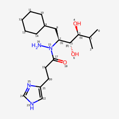 CC(C)[C@H](O)[C@H](O)[C@H](CC1CCCCC1)N(N)C(=O)CCc1c[nH]cn1